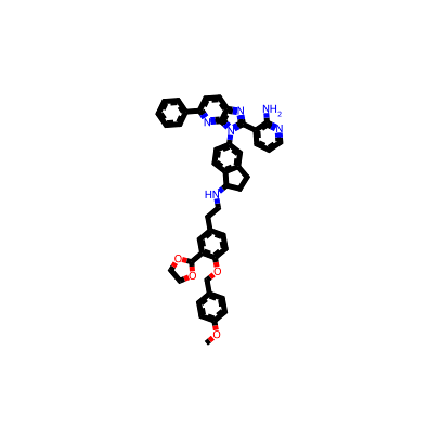 COc1ccc(COc2ccc(CCNC3CCc4cc(-n5c(-c6cccnc6N)nc6ccc(-c7ccccc7)nc65)ccc43)cc2C2OCCO2)cc1